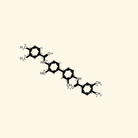 Cc1ccc(C(=O)Nc2ccc(-c3ccc(NC(=O)c4ccc(C)c(C)c4)c(O)c3)cc2O)cc1C